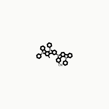 Cc1cc2c(c3ccccc3n2-c2ccccc2)c2c1c1cc(-n3c4ccc(C#N)cc4c4c3ccc3c5ccccc5n(-c5ccccc5)c34)ccc1n2-c1ccccc1